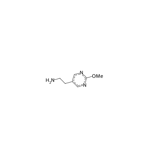 COc1ncc(CCN)cn1